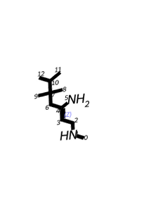 CNC/C=C(\N)CC(C)(C)C(C)C